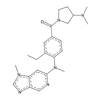 CCc1cc(C(=O)N2CCC(N(C)C)C2)ccc1N(C)c1cc2c(cn1)ncn2C